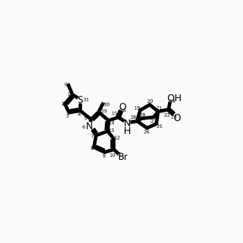 Cc1ccc(-c2nc3ccc(Br)cc3c(C(=O)NC34CCC(C(=O)O)(CC3)CC4)c2C)s1